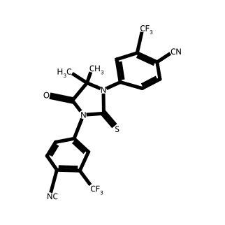 [C-]#[N+]c1ccc(N2C(=O)C(C)(C)N(c3ccc(C#N)c(C(F)(F)F)c3)C2=S)cc1C(F)(F)F